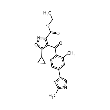 CCOC(=O)c1noc(C2CC2)c1C(=O)c1ccc(-n2cnc(C)n2)cc1C